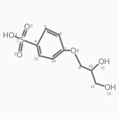 O=S(=O)(O)c1ccc(OCC(O)CO)cc1